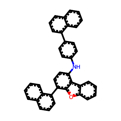 c1ccc2c(-c3ccc(Nc4ccc(-c5cccc6ccccc56)c5oc6ccccc6c45)cc3)cccc2c1